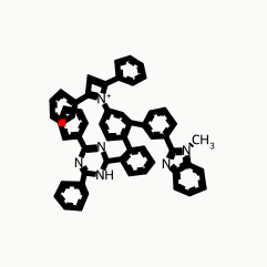 Cn1c(-c2cccc(-c3cc([N+]4=C(c5ccccc5)C=C4c4ccccc4)ccc3-c3ccccc3C3N=C(c4ccccc4)N=C(c4ccccc4)N3)c2)nc2ccccc21